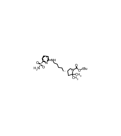 CC(C)(C)OC(=O)N1C[C@@H](CCCCCNc2cccc(S(N)(=O)=O)n2)CC1(C)C